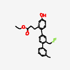 CCOC(=O)CCc1cc(O)ccc1-c1ccc(-c2cccc(C)c2)c(CF)c1